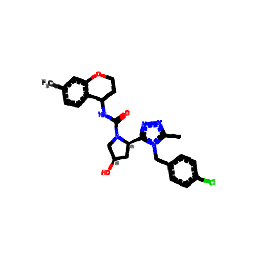 Cc1nnc([C@H]2C[C@@H](O)CN2C(=O)NC2CCOc3cc(C(F)(F)F)ccc32)n1Cc1ccc(Cl)cc1